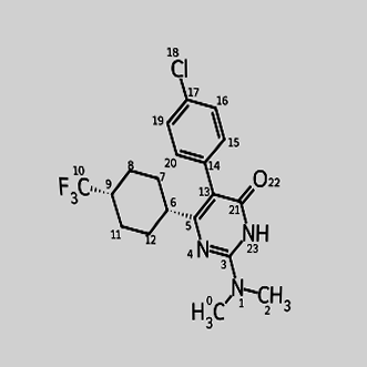 CN(C)c1nc([C@H]2CC[C@@H](C(F)(F)F)CC2)c(-c2ccc(Cl)cc2)c(=O)[nH]1